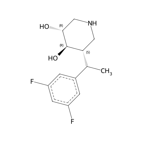 CC(c1cc(F)cc(F)c1)[C@H]1CNC[C@@H](O)[C@@H]1O